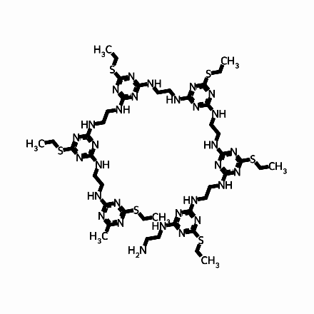 CCSc1nc(C)nc(NCCNc2nc(NCCNc3nc(NCCNc4nc(NCCNc5nc(NCCNc6nc(NCCN)nc(SCC)n6)nc(SCC)n5)nc(SCC)n4)nc(SCC)n3)nc(SCC)n2)n1